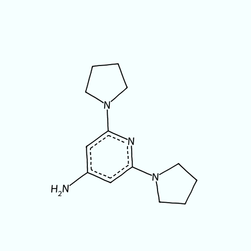 Nc1cc(N2CCCC2)nc(N2CCCC2)c1